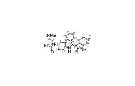 CCC(=O)N(CCNC)c1ccc(N/C(=C2\C(=O)Nc3cc(F)ccc32)c2ccccc2)cc1